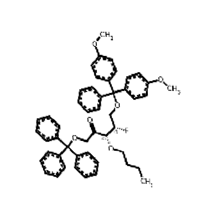 CCCCO[C@H](C(=O)COC(c1ccccc1)(c1ccccc1)c1ccccc1)[C@@H](F)COC(c1ccccc1)(c1ccc(OC)cc1)c1ccc(OC)cc1